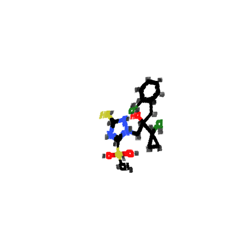 CS(=O)(=O)c1nc(S)nn1CC(O)(Cc1ccccc1Cl)C1(Cl)CC1